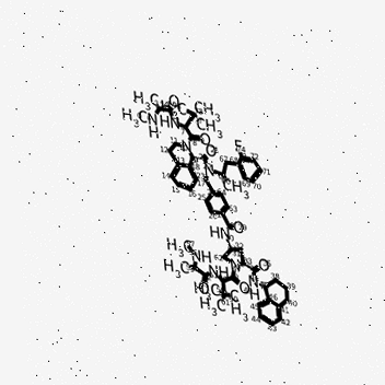 CNC(C)C(=O)NC(C(=O)N1CCc2ccccc2[C@H]1C(=O)N(Cc1ccc(C(=O)N[C@H]2C[C@@H](C(=O)N[C@@H]3CCCc4ccccc43)N(C(=O)C(NC(=O)C(C)NC)C(C)(C)C)C2)cc1)C(C)Cc1ccccc1F)C(C)(C)C